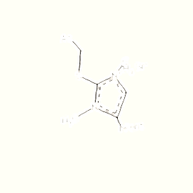 CCCCCc1c[n+](C)c(SCC(C)=O)n1C.[Br-]